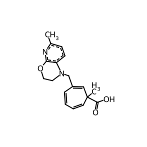 Cc1ccc2c(n1)OCCN2CC1=CC(C)(C(=O)O)C=CC=C1